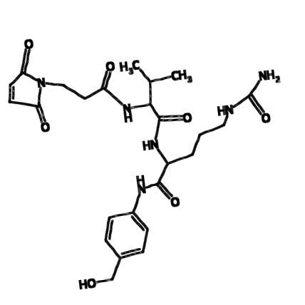 CC(C)C(NC(=O)CCN1C(=O)C=CC1=O)C(=O)NC(CCCNC(N)=O)C(=O)Nc1ccc(CO)cc1